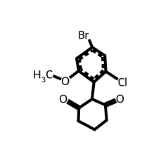 COc1cc(Br)cc(Cl)c1C1C(=O)CCCC1=O